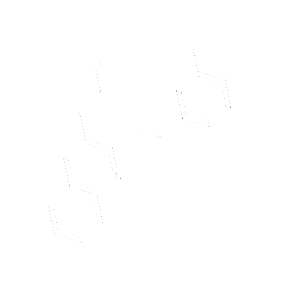 OCCc1cc2ccccc2nc1OCc1cccc(Cl)c1